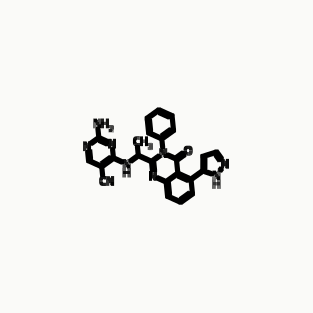 CC(Nc1nc(N)ncc1C#N)c1nc2cccc(-c3ccn[nH]3)c2c(=O)n1-c1ccccc1